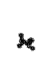 CN(CC(=O)N(Cc1ccc(C2CCCCC2)cc1)c1ccc(C(=O)OCc2ccccc2)c(OCc2ccccc2)c1)C(=O)C(F)(F)F